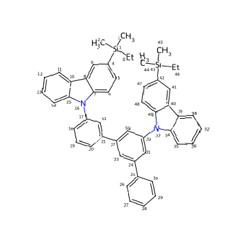 CC[Si](C)(C)c1ccc2c(c1)c1ccccc1n2-c1cccc(-c2cc(-c3ccccc3)cc(-n3c4ccccc4c4cc([Si](C)(C)CC)ccc43)c2)c1